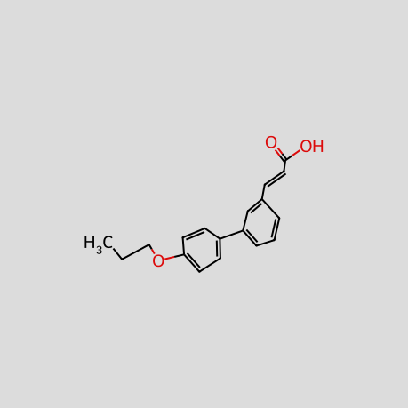 CCCOc1ccc(-c2cccc(C=CC(=O)O)c2)cc1